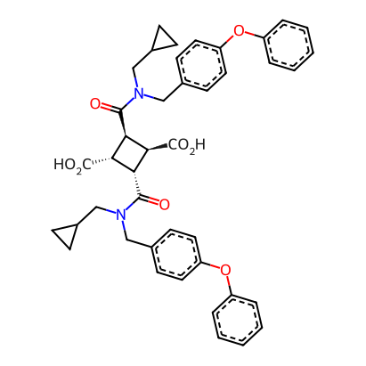 O=C(O)[C@H]1[C@H](C(=O)N(Cc2ccc(Oc3ccccc3)cc2)CC2CC2)[C@H](C(=O)O)[C@H]1C(=O)N(Cc1ccc(Oc2ccccc2)cc1)CC1CC1